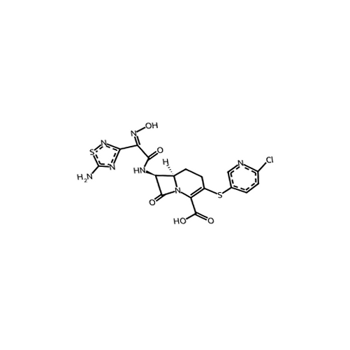 Nc1nc(/C(=N/O)C(=O)N[C@@H]2C(=O)N3C(C(=O)O)=C(Sc4ccc(Cl)nc4)CC[C@H]23)ns1